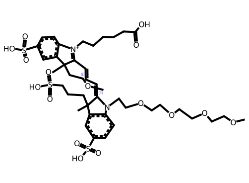 COCCOCCOCCOCCN1/C(=C/C=C/C2=[N+](CCCCCC(=O)O)c3ccc(S(=O)(=O)O)cc3C2(C)CCOC)C(C)(CCCS(=O)(=O)O)c2cc(S(=O)(=O)O)ccc21